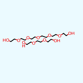 OCCOCCOCCO.OCCOCCOCCOCCOCCOCCO